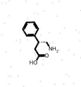 NC[C@H](CC(=O)O)c1ccccc1